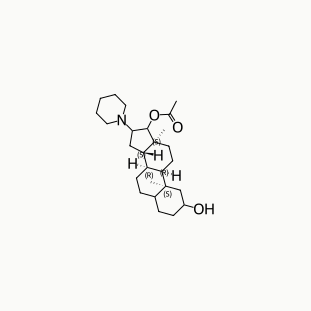 CC(=O)OC1C(N2CCCCC2)C[C@H]2[C@@H]3CCC4CCC(O)C[C@]4(C)[C@@H]3CC[C@]12C